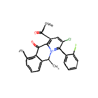 COC(=O)c1cc(Cl)c(-c2ccccc2F)[n+]2c1C(=O)c1c(C(C)C)cccc1C2C